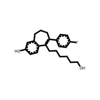 OCCCCCCC1=C(c2ccc(F)cc2)CCCc2cc(O)ccc21